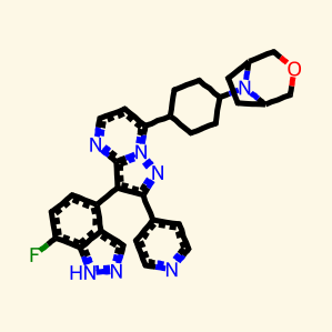 Fc1ccc(-c2c(-c3ccncc3)nn3c(C4CCC(N5C6CCC5COC6)CC4)ccnc23)c2cn[nH]c12